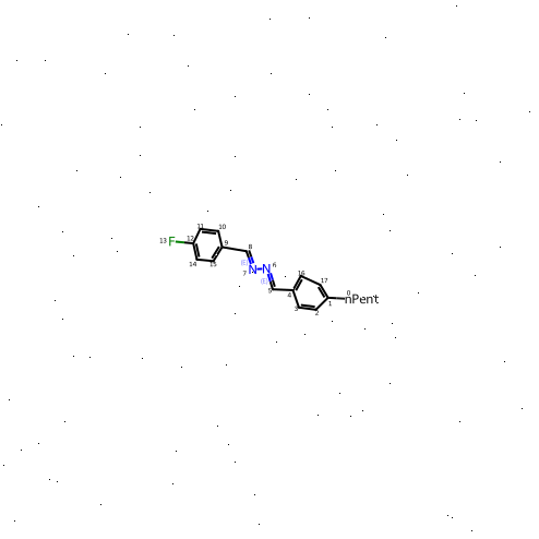 CCCCCc1ccc(/C=N/N=C/c2ccc(F)cc2)cc1